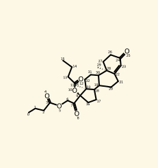 CCCC(=O)OCC(=O)[C@@]1(OC(=O)CCC)CCC2C3CCC4=CC(=O)CC[C@]4(C)C3CC[C@@]21C